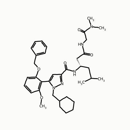 COc1cccc(OCc2ccccc2)c1-c1cc(C(=O)N[C@H](CC(=O)NCC(=O)N(C)C)CC(C)C)nn1CC1CCCCC1